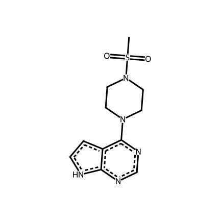 CS(=O)(=O)N1CCN(c2ncnc3[nH]ccc23)CC1